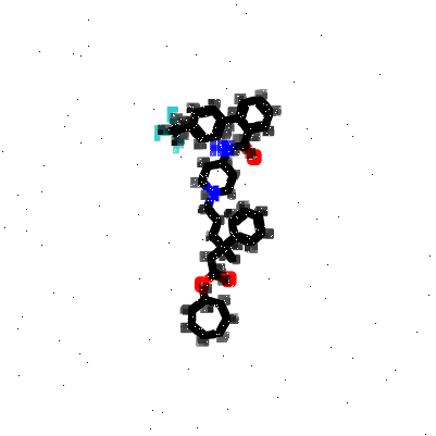 CC(CCCN1CCC(NC(=O)c2ccccc2-c2ccc(C(F)(F)F)cc2)CC1)(CC(=O)OC1CCCCCC1)c1ccccc1